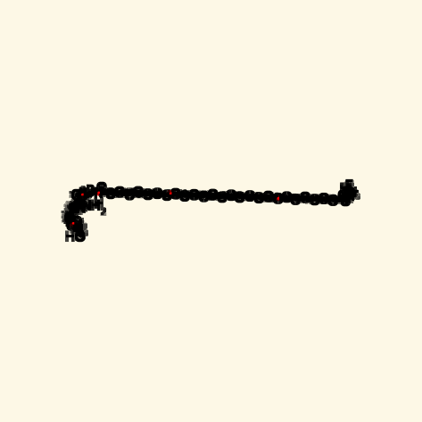 CCCN(CC#CCNC(=O)CCOCCOCCOCCOCCOCCOCCOCCOCCOCCOCCOCCOCCOCCOCCOCCOCCOCCOCCOCCOCCOCCOCCOCCOCCOCCC(=O)Oc1c(F)c(F)cc(F)c1F)C(=O)C1=Cc2ccc(-c3cccc(S(=O)(=O)N4CC(CO)C4)c3)cc2N=C(N)C1